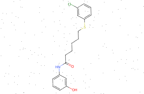 O=C(CCCCCSc1cccc(Cl)c1)Nc1cccc(O)c1